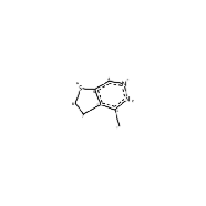 Cc1nncc2c1CCS2